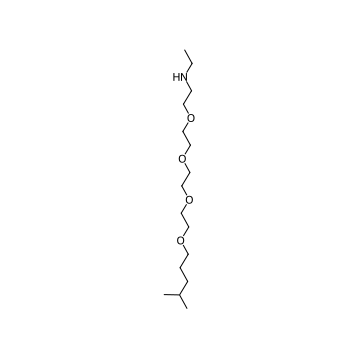 CCNCCOCCOCCOCCOCCCC(C)C